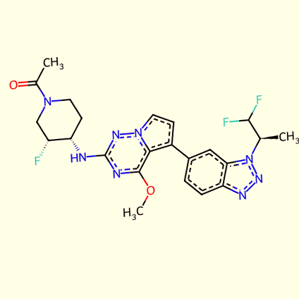 COc1nc(N[C@H]2CCN(C(C)=O)C[C@H]2F)nn2ccc(-c3ccc4nnn([C@H](C)C(F)F)c4c3)c12